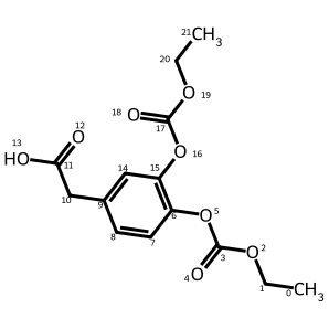 CCOC(=O)Oc1ccc(CC(=O)O)cc1OC(=O)OCC